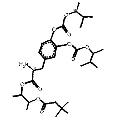 CC(C)C(C)OC(=O)Oc1cc(C[C@H](N)C(=O)OC(C)C(C)OC(=O)CC(C)(C)C)ccc1OC(=O)O[C@@H](C)C(C)C